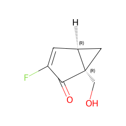 O=C1C(F)=C[C@H]2C[C@@]12CO